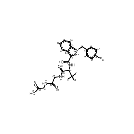 CC(C)(C)[C@H](NC(=O)c1nn(Cc2ccc(F)cc2)c2ccccc12)C(=O)NCC(=O)NCC(=O)O